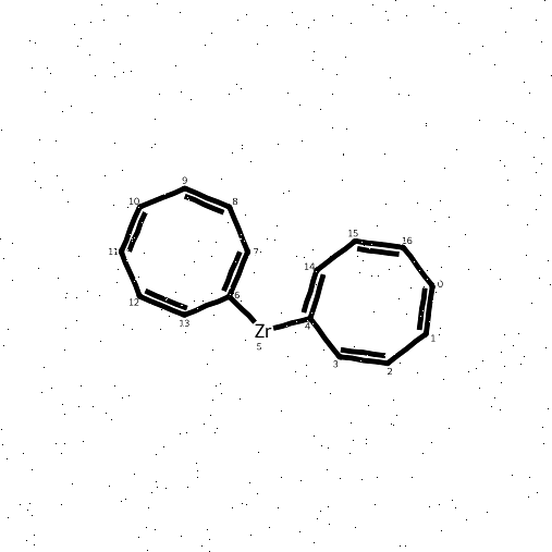 C1=CC=C[C]([Zr][C]2=CC=CC=CC=C2)=CC=C1